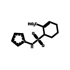 CCOC(=O)C1=CCCCC1S(=O)(=O)Nn1cccc1